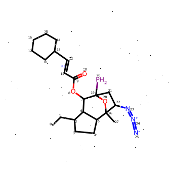 CCC1CCC2C1C(OC(=O)/C=C/C1CCCCC1)C1(P)CC(N=[N+]=[N-])C2(C)O1